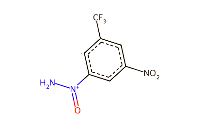 N[N+](=O)c1[c]c(C(F)(F)F)cc([N+](=O)[O-])c1